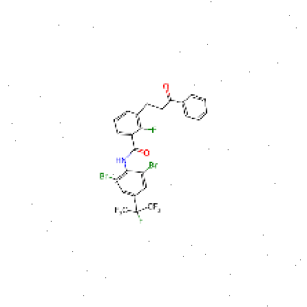 O=C(CCc1cccc(C(=O)Nc2c(Br)cc(C(F)(C(F)(F)F)C(F)(F)F)cc2Br)c1F)c1ccccc1